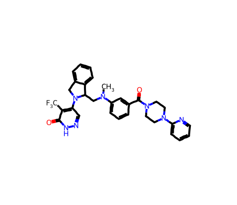 CN(CC1c2ccccc2CN1c1cn[nH]c(=O)c1C(F)(F)F)c1cccc(C(=O)N2CCN(c3ccccn3)CC2)c1